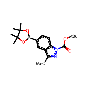 COc1nn(C(=O)OC(C)(C)C)c2ccc(B3OC(C)(C)C(C)(C)O3)cc12